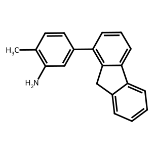 Cc1ccc(-c2cccc3c2Cc2ccccc2-3)cc1N